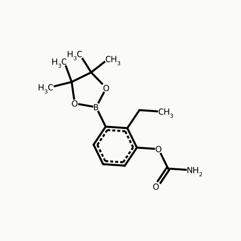 CCc1c(OC(N)=O)cccc1B1OC(C)(C)C(C)(C)O1